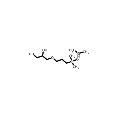 C[SiH](C)O[Si](C)(C)CCCOCC(O)CO